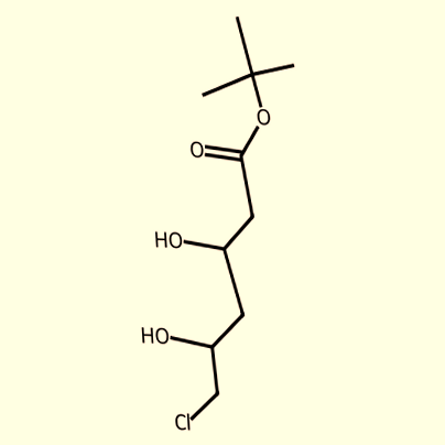 CC(C)(C)OC(=O)CC(O)CC(O)CCl